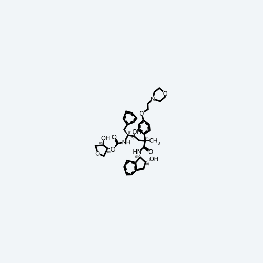 C[C@](C[C@H](O)[C@H](Cc1ccccc1)NC(=O)O[C@@H]1COC[C@H]1O)(C(=O)N[C@H]1c2ccccc2C[C@H]1O)c1ccc(OCCN2CCOCC2)cc1